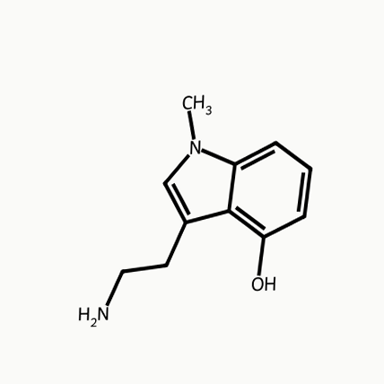 Cn1cc(CCN)c2c(O)cccc21